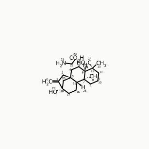 C=C1C[C@@]23CC[C@H]4[C@@](C)(CCC[C@@]4(C)C(=O)O)[C@@H]2CC[C@]1(O)C3.NCC(=O)O